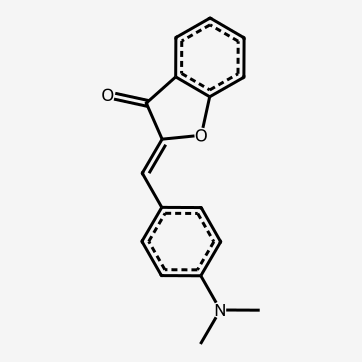 CN(C)c1ccc(/C=C2\Oc3ccccc3C2=O)cc1